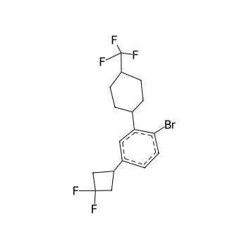 FC1(F)CC(c2ccc(Br)c(C3CCC(C(F)(F)F)CC3)c2)C1